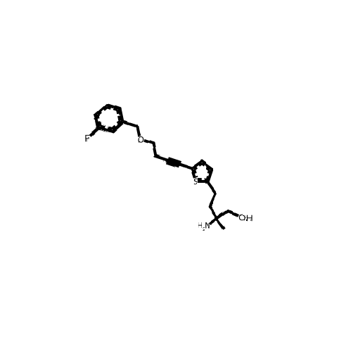 CC(N)(CO)CCc1ccc(C#CCCOCc2cccc(F)c2)s1